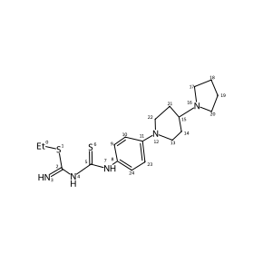 CCSC(=N)NC(=S)Nc1ccc(N2CCC(N3CCCC3)CC2)cc1